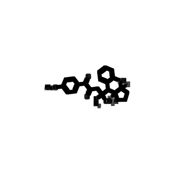 COc1ccc(C(=O)C(=O)CC(N)(C(=O)O)C2c3ccccc3N[C@@H]3CCC[C@H]23)cc1